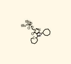 CC(C)(C)OP(=O)(OCn1cnc2c(c(C3CCCCCCC3)cn2C2CCCCCCC2)c1=O)OC(C)(C)C